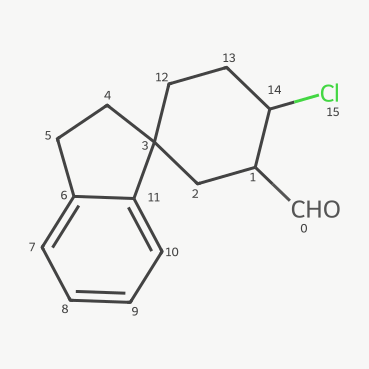 O=CC1CC2(CCc3ccccc32)CCC1Cl